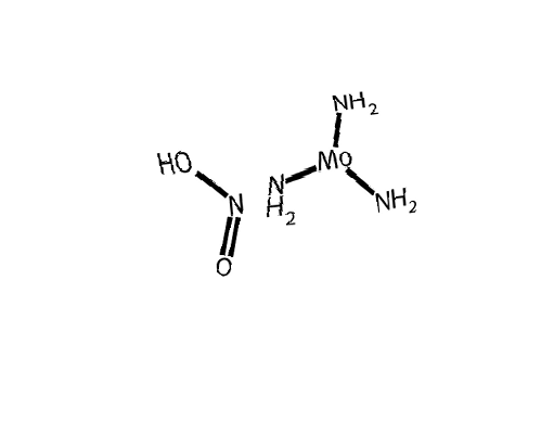 O=NO.[NH2][Mo]([NH2])[NH2]